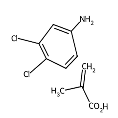 C=C(C)C(=O)O.Nc1ccc(Cl)c(Cl)c1